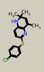 CC1=CC(C)(C)Nc2ccc(Sc3ccc(Cl)cc3)nc21